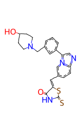 O=C1NC(=S)S/C1=C\c1ccc2ncc(-c3cccc(CN4CCC(O)CC4)c3)n2c1